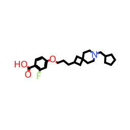 O=C(O)c1ccc(OCCCC2CC3(CCN(CC4CCCC4)CC3)C2)cc1F